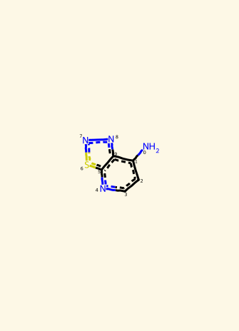 Nc1ccnc2snnc12